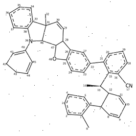 Cc1ccccc1C1C=CC=CC1[C@@H](C)c1c(C#N)cccc1-c1ccc2c(c1)C1C=CC3(C)c4ccccc4N(C4=CCCC=C4)C3C1O2